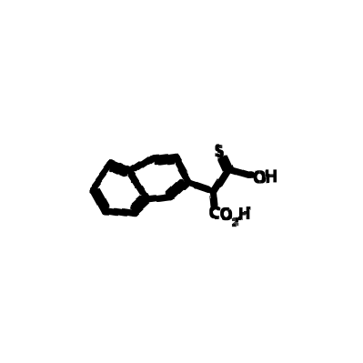 O=C(O)C(C(O)=S)c1ccc2ccccc2c1